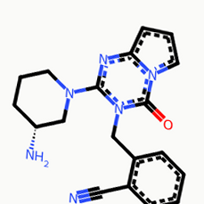 N#Cc1ccccc1Cn1c(N2CCC[C@@H](N)C2)nc2cccn2c1=O